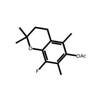 CC(=O)Oc1c(C)c(F)c2c(c1C)CCC(C)(C)O2